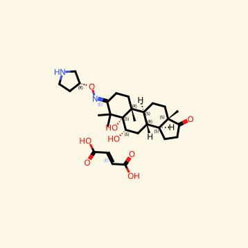 CC1(C)/C(=N/O[C@@H]2CCNC2)CC[C@]2(C)[C@H]3CC[C@]4(C)C(=O)CC[C@H]4[C@@H]3C[C@H](O)[C@@]12O.O=C(O)/C=C/C(=O)O